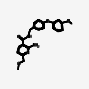 COCc1ccc(C(=O)NCc2ccc(Oc3cccc(OC)c3)cc2)c(N)n1